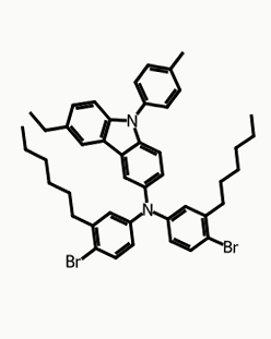 CCCCCCc1cc(N(c2ccc(Br)c(CCCCCC)c2)c2ccc3c(c2)c2cc(CC)ccc2n3-c2ccc(C)cc2)ccc1Br